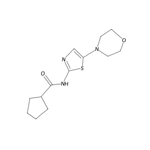 O=C(Nc1ncc(N2CCOCC2)s1)C1CCCC1